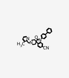 Cc1cccnc1CN1CCC2(CC1)C(=O)N(c1ccc(-c3ccccc3)cc1)c1cc(C#N)ccc12